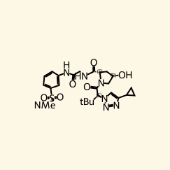 CNS(=O)(=O)c1cccc(NC(=O)CNC(=O)[C@@H]2C[C@@H](O)CN2C(=O)[C@@H](n2cc(C3CC3)nn2)C(C)(C)C)c1